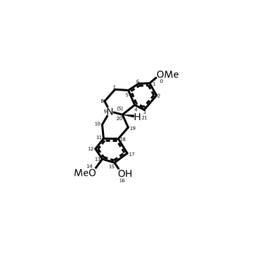 COc1ccc2c(c1)CCN1Cc3cc(OC)c(O)cc3C[C@@H]21